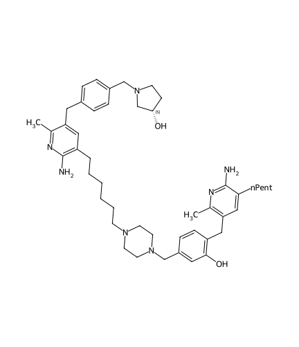 CCCCCc1cc(Cc2ccc(CN3CCN(CCCCCCc4cc(Cc5ccc(CN6CC[C@H](O)C6)cc5)c(C)nc4N)CC3)cc2O)c(C)nc1N